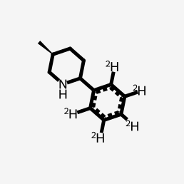 [2H]c1c([2H])c([2H])c(C2CC[C@H](C)CN2)c([2H])c1[2H]